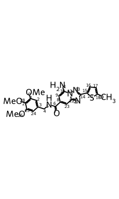 COc1cc(CNC(=O)c2cc(N)n3nc(-c4ccc(C)s4)nc3c2)cc(OC)c1OC